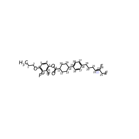 CCCOc1ccc(OC(=O)C2CCC(c3ccc(CCC/C=C(\F)CF)cc3)CC2)c(F)c1F